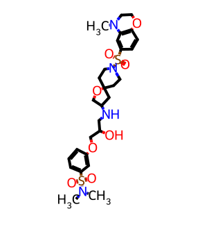 CN1CCOc2ccc(S(=O)(=O)N3CCC4(CC3)CC(NCC(O)COc3cccc(S(=O)(=O)N(C)C)c3)CO4)cc21